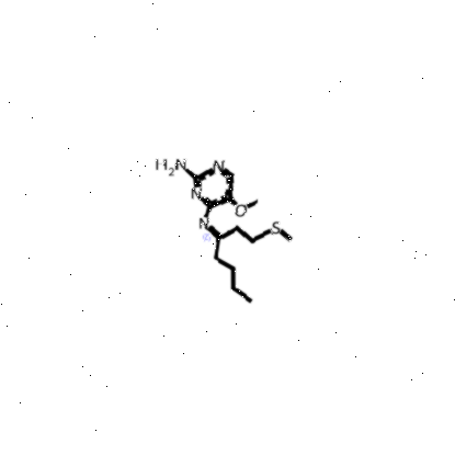 CCCC/C(CCSC)=N/c1nc(N)ncc1OC